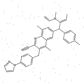 C=CN(C)/C(=C\C)C(c1ccc(C)cc1)c1cc(C)c2nc(C#N)c(Cc3ccc(-n4cccn4)cc3)c(C)c2c1